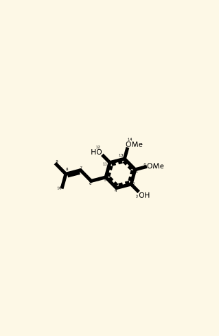 COc1c(O)cc(CC=C(C)C)c(O)c1OC